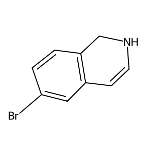 Brc1ccc2c(c1)C=CNC2